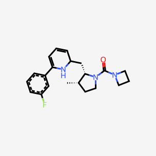 C[C@H]1CCN(C(=O)N2CCC2)[C@H]1CC1C=CC=C(c2cccc(F)c2)N1